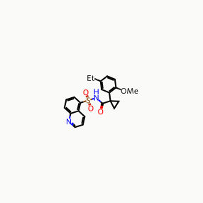 CCc1ccc(OC)c(C2(C(=O)NS(=O)(=O)c3cccc4ncccc34)CC2)c1